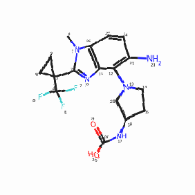 Cn1c(C2(C(F)(F)F)CC2)nc2c(N3CC[C@@H](NC(=O)O)C3)c(N)ccc21